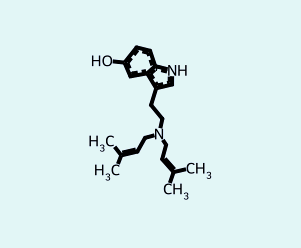 CC(C)=CCN(CC=C(C)C)CCc1c[nH]c2ccc(O)cc12